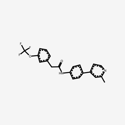 Cc1cc(-c2ccc(NC(=O)Cc3cccc(OC(F)(F)F)c3)cc2)ccn1